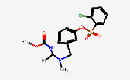 CCC(NC(=O)OC(C)(C)C)N(C)Cc1cccc(OS(=O)(=O)c2ccccc2Cl)c1